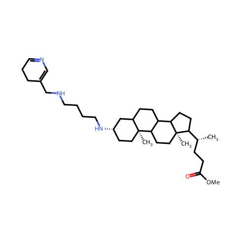 COC(=O)CC[C@@H](C)C1CCC2C3CCC4C[C@@H](NCCCCNCC5=CN=CCC5)CC[C@]4(C)C3CC[C@@]21C